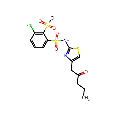 CCCC(=O)Cc1csc(NS(=O)(=O)c2cccc(Cl)c2S(C)(=O)=O)n1